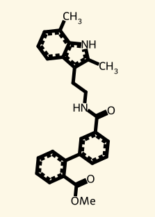 COC(=O)c1ccccc1-c1cccc(C(=O)NCCc2c(C)[nH]c3c(C)cccc23)c1